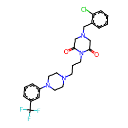 O=C1CN(Cc2ccccc2Cl)CC(=O)N1CCCN1CCN(c2cccc(C(F)(F)F)c2)CC1